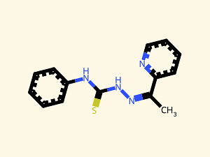 CC(=NNC(=S)Nc1ccccc1)c1ccccn1